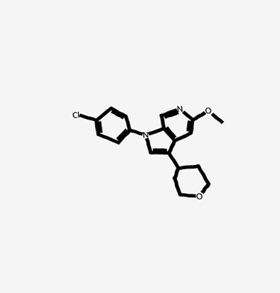 COc1cc2c(C3CCOCC3)cn(-c3ccc(Cl)cc3)c2cn1